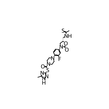 CC(=S)NC[C@H]1CN(c2ccc(N3CCN(C(=O)Sc4n[nH]c(C)n4)CC3)c(F)c2)C(=O)O1